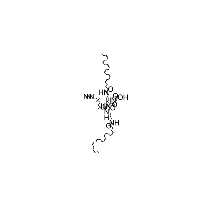 CC/C=C\C/C=C\C/C=C\C/C=C\C/C=C\C/C=C\CCC(=O)NCCCC[C@H](NC(=O)CC(C)(C)CCC(C)(C)CCN=[N+]=[N-])C(=O)N[C@@H](CCCCNC(=O)CC/C=C\C/C=C\C/C=C\C/C=C\C/C=C\C/C=C\CC)C(=O)NCC(=O)O